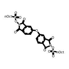 CCCCCCCCS(=O)(=O)ON1C(=O)c2ccc(Oc3ccc4c(c3)C(=O)N(OS(=O)(=O)CCCCCCCC)C4=O)cc2C1=O